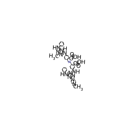 Cc1nc(Nc2ccccc2)nc(Nc2ccc(/C=C/c3ccc(Nc4nc(Nc5ccccc5)nc(N5CCN(C)CC5)n4)cc3OS(=O)O)c(OS(=O)O)c2)n1